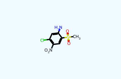 CS(=O)(=O)c1cc([N+](=O)[O-])c(Cl)cc1N